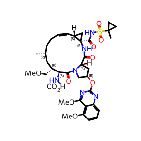 COC[C@@H]1C[C@H](C)CCC=C[C@@H]2C[C@@]2(C(=O)NS(=O)(=O)C2(C)CC2)NC(=O)[C@@H]2C[C@@H](Oc3nc(OC)c4c(OC)cccc4n3)CN2C(=O)[C@H]1NC(=O)O